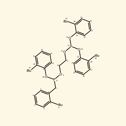 CCC(C)c1ccccc1CP(OCCOP(Oc1ccccc1C(C)CC)Oc1ccccc1C(C)CC)Oc1ccccc1C(C)CC